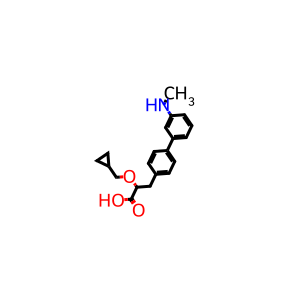 CNc1cccc(-c2ccc(CC(OCC3CC3)C(=O)O)cc2)c1